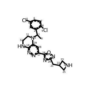 CC(c1cc(Cl)ccc1Cl)N1CCNc2nnc(-c3nc(CC4CNC4)no3)cc21